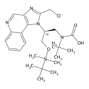 CC(C)(C)N(C[C@@H](CO[Si](C)(C)C(C)(C)C)n1c(CCl)nc2cnc3ccccc3c21)C(=O)O